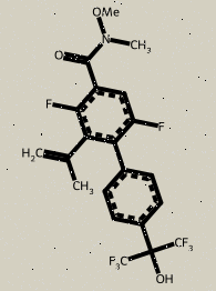 C=C(C)c1c(F)c(C(=O)N(C)OC)cc(F)c1-c1ccc(C(O)(C(F)(F)F)C(F)(F)F)cc1